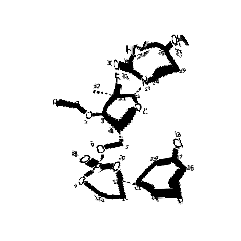 CCO[C@@H]1[C@@H](CO[P@@]2(=O)OCC[C@@H](c3cccc(Cl)c3)O2)O[C@@H](N2C=CC(O)NC2=O)[C@]1(C)F